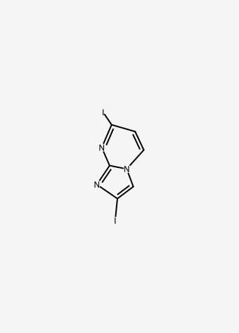 Ic1ccn2cc(I)nc2n1